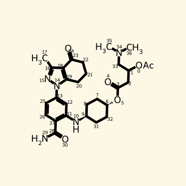 CC(=O)OC(CC(=O)O[C@H]1CC[C@H](Nc2cc(-n3nc(C)c4c3CCCC4=O)ccc2C(N)=O)CC1)CN(C)C